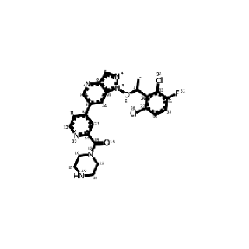 CC(On1ncc2ncc(-c3ccnc(C(=O)N4CCNCC4)c3)cc21)c1c(Cl)ccc(F)c1Cl